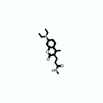 CCN(CC)c1ccc2c(C)c(CCC(=O)NC)c(=O)oc2c1